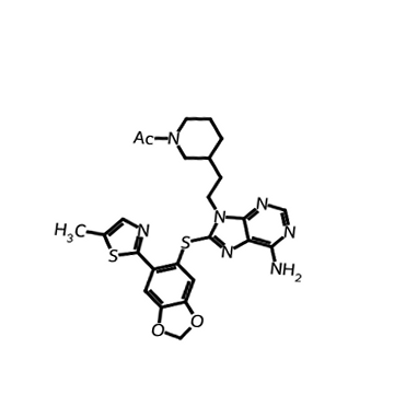 CC(=O)N1CCCC(CCn2c(Sc3cc4c(cc3-c3ncc(C)s3)OCO4)nc3c(N)ncnc32)C1